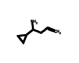 C=CCC(N)C1CC1